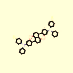 Fc1ccc(N(c2ccccc2)c2ccc3c(c2)Oc2ccc4c5c(ccc-3c25)Oc2cc(N(c3ccccc3)c3ccc(F)cc3)ccc2-4)cc1